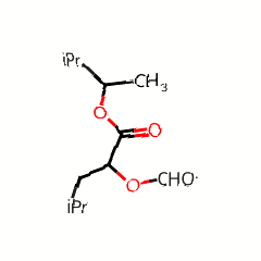 CC(C)CC(O[C]=O)C(=O)OC(C)C(C)C